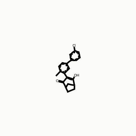 Cc1ccc(-c2cccc(Cl)c2)cc1C1=C(O)C2CCC(C2)C1=O